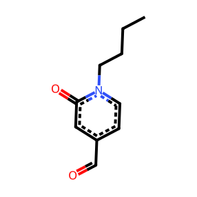 CCCCn1ccc(C=O)cc1=O